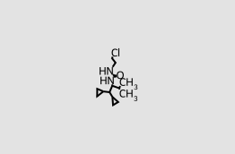 CC(C)C(NC(=O)NCCCl)C(C1CC1)C1CC1